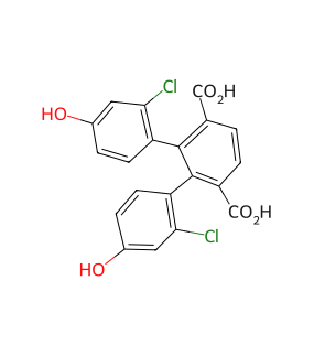 O=C(O)c1ccc(C(=O)O)c(-c2ccc(O)cc2Cl)c1-c1ccc(O)cc1Cl